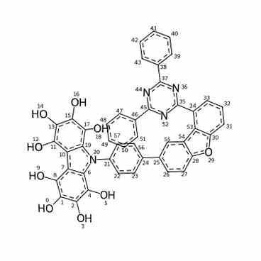 Oc1c(O)c(O)c2c(c1O)c1c(O)c(O)c(O)c(O)c1n2-c1ccc(-c2ccc3oc4cccc(-c5nc(-c6ccccc6)nc(-c6ccccc6)n5)c4c3c2)cc1